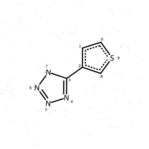 c1cc(C2=NN=N[N]2)cs1